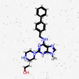 CC(C)n1cnc2c(NCc3ccc(-c4ccccc4)cc3)nc(N3CCN[C@@H](CCO)C3)nc21